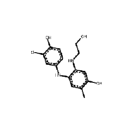 Cc1cc(Nc2ccc(O)c(Cl)c2)c(NCCO)cc1O